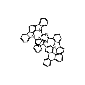 c1ccc(-c2nc(-c3cccc4c3sc3ccccc34)nc(-n3c4ccccc4c4ccc5c6ccccc6n(-c6ccc(-c7ccc8c9ccccc9c9ccccc9c8c7)cc6)c5c43)n2)cc1